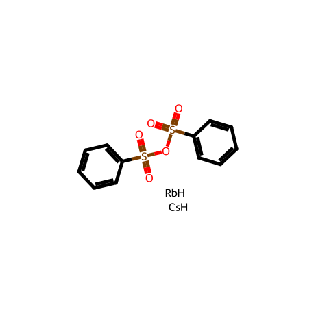 O=S(=O)(OS(=O)(=O)c1ccccc1)c1ccccc1.[CsH].[RbH]